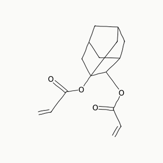 C=CC(=O)OC1C2CC3CC(C2)CC1(OC(=O)C=C)C3